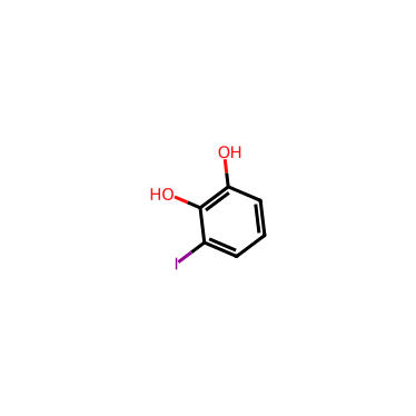 Oc1cccc(I)c1O